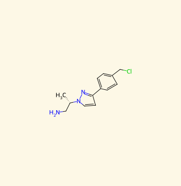 C[C@@H](CN)n1ccc(-c2ccc(CCl)cc2)n1